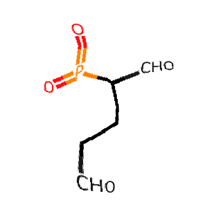 O=CCCC(C=O)P(=O)=O